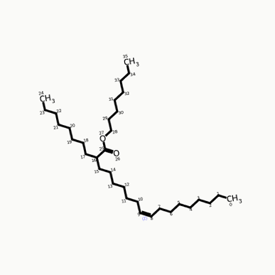 CCCCCCCC/C=C\CCCCCCC(CCCCCCCC)C(=O)OCCCCCCCC